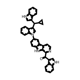 O=C(c1c[nH]c2ccccc12)c1nccc2c1[nH]c1ccc(-n3cc(C(c4c[nH]c5ccccc45)C4CC4)c4ccccc43)cc12